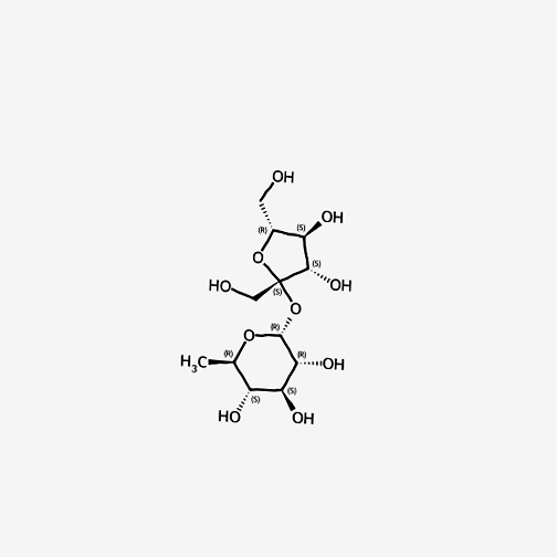 C[C@H]1O[C@H](O[C@]2(CO)O[C@H](CO)[C@@H](O)[C@@H]2O)[C@H](O)[C@@H](O)[C@@H]1O